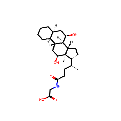 C[C@H](CCC(=O)NCC(=O)O)[C@H]1CC[C@H]2[C@@H]3[C@H](O)C[C@@H]4CCCC[C@]4(C)[C@H]3C[C@H](O)[C@]12C